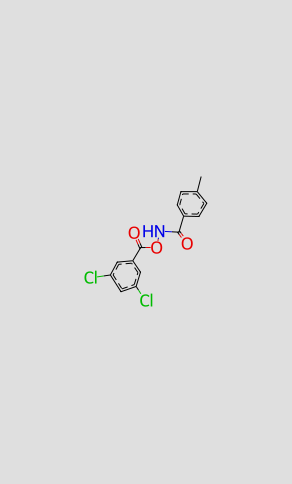 Cc1ccc(C(=O)NOC(=O)c2cc(Cl)cc(Cl)c2)cc1